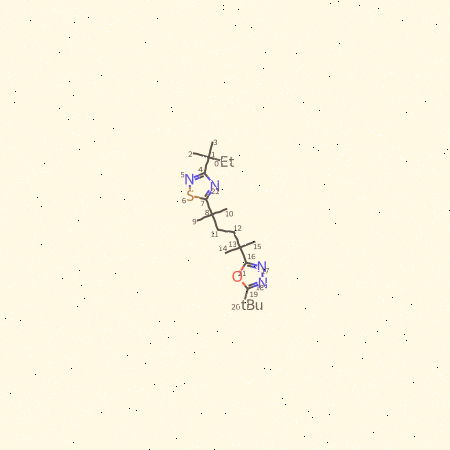 CCC(C)(C)c1nsc(C(C)(C)CCC(C)(C)c2nnc(C(C)(C)C)o2)n1